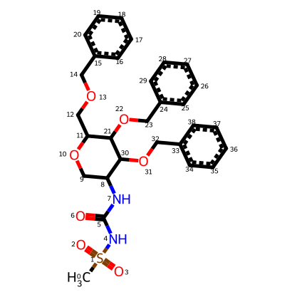 CS(=O)(=O)NC(=O)NC1COC(COCc2ccccc2)C(OCc2ccccc2)C1OCc1ccccc1